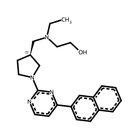 CCN(CCO)C[C@@H]1CCN(c2nccc(-c3ccc4ccccc4c3)n2)C1